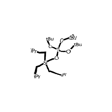 CC(C)C[Si](CC(C)C)(CC(C)C)[O][Ti]([O]C(C)(C)C)([O]C(C)(C)C)[O]C(C)(C)C